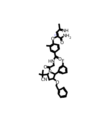 CC(=N)/C=C(/Oc1ccc(C(=O)NCC(=O)N2C(c3cccc(F)c3)C(OCc3ccccc3)CC2C(C)(C)C#N)cc1C)C(N)=O